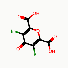 O=C(O)c1oc(C(=O)O)c(Br)c(=O)c1Br